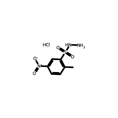 Cc1ccc([N+](=O)[O-])cc1S(=O)(=O)NN.Cl